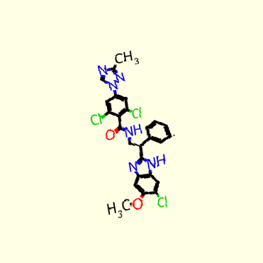 COc1cc2nc([C@@H](CNC(=O)c3c(Cl)cc(-n4cnc(C)n4)cc3Cl)c3c[c]ccc3)[nH]c2cc1Cl